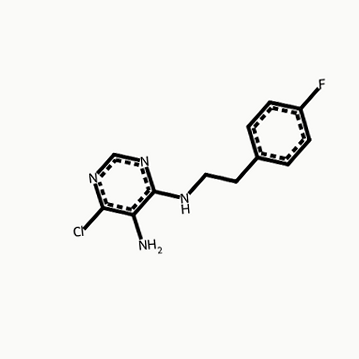 Nc1c(Cl)ncnc1NCCc1ccc(F)cc1